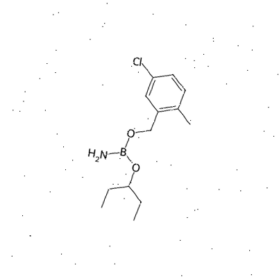 CCC(CC)OB(N)OCc1cc(Cl)ccc1C